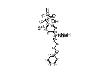 O=P(O)(O)C(F)(F)c1ccc(CSCCOc2ccccc2)cc1Br.[NaH].[NaH]